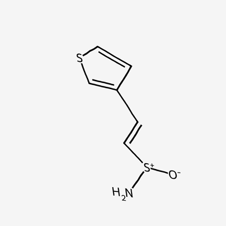 N[S+]([O-])C=Cc1ccsc1